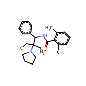 CCC(C)(C(NC(=O)c1c(C)cccc1C)c1ccccc1)N1CCCC1